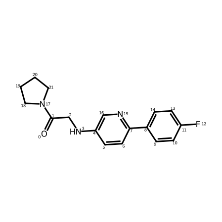 O=C(CNc1ccc(-c2ccc(F)cc2)nc1)N1CCCC1